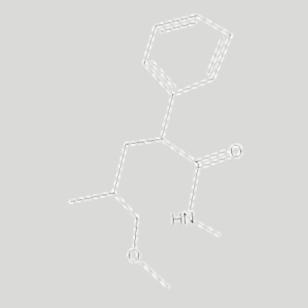 CNC(=O)C(CC(C)COC)c1ccccc1